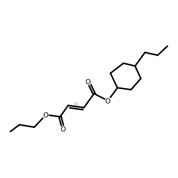 CCCOC(=O)/C=C/C(=O)OC1CCC(CCC)CC1